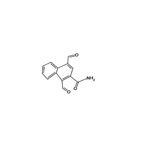 NC(=O)c1cc(C=O)c2ccccc2c1C=O